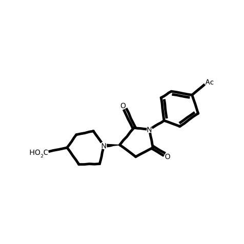 CC(=O)c1ccc(N2C(=O)C[C@@H](N3CCC(C(=O)O)CC3)C2=O)cc1